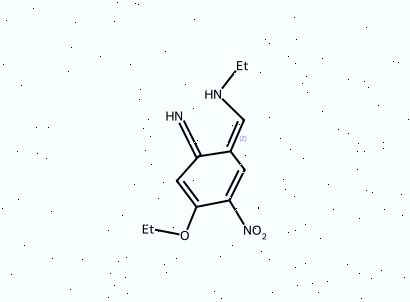 CCN/C=C1/C=C([N+](=O)[O-])C(OCC)=CC1=N